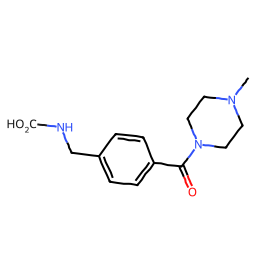 CN1CCN(C(=O)c2ccc(CNC(=O)O)cc2)CC1